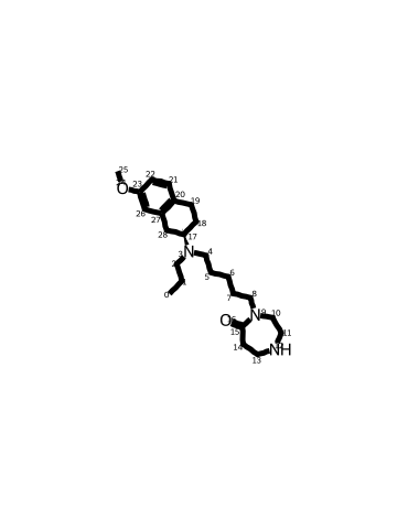 CCCN(CCCCCN1CCNCCC1=O)[C@@H]1CCc2ccc(OC)cc2C1